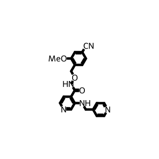 COc1cc(C#N)ccc1CONC(=O)c1ccncc1NCc1ccncc1